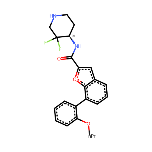 CCCOc1ccccc1-c1cccc2cc(C(=O)N[C@@H]3CCNCC3(F)F)oc12